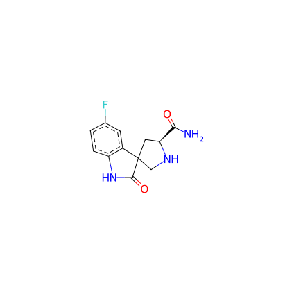 NC(=O)[C@@H]1CC2(CN1)C(=O)Nc1ccc(F)cc12